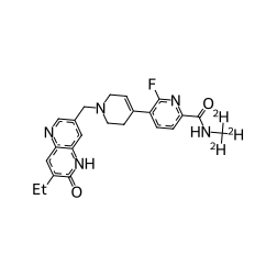 [2H]C([2H])([2H])NC(=O)c1ccc(C2=CCN(Cc3cnc4cc(CC)c(=O)[nH]c4c3)CC2)c(F)n1